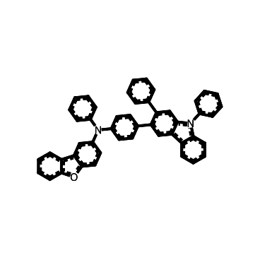 c1ccc(-c2cc3c(cc2-c2ccc(N(c4ccccc4)c4ccc5oc6ccccc6c5c4)cc2)c2ccccc2n3-c2ccccc2)cc1